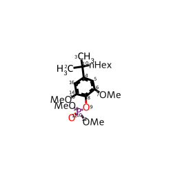 CCCCCCC(C)(C)c1cc(OC)c(OP(=O)(OC)OC)c(OC)c1